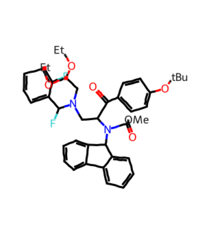 CCOC(CN(CC(C(=O)c1ccc(OC(C)(C)C)cc1)N(C(=O)OC)C1c2ccccc2-c2ccccc21)C(F)c1ccccc1F)OCC